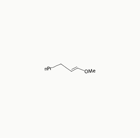 [CH2]CCCC=COC